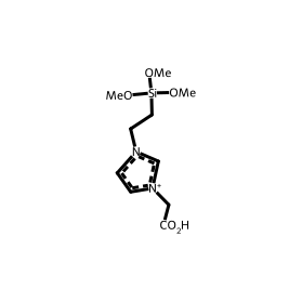 CO[Si](CCn1cc[n+](CC(=O)O)c1)(OC)OC